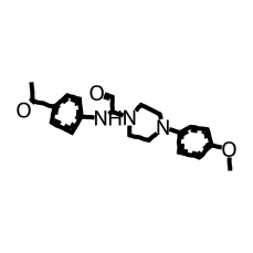 COc1ccc(N2CCN(C(C=O)Nc3ccc(C(C)=O)cc3)CC2)cc1